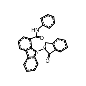 O=C(Nc1ccccc1)c1cccc2c3ccccc3n(N3Cc4ccccc4C3=O)c12